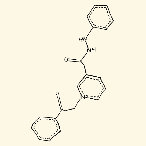 O=C(C[n+]1cccc(C(=O)NNc2ccccc2)c1)c1ccccc1